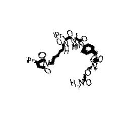 CC(C)C1CC(=O)N(CCCCCC(=O)N[C@H](C(=O)N[C@@H](C)C(=O)Nc2ccc(COC(=O)N(C)COCC(N)=O)cc2)C(C)C)C1=O